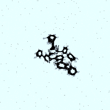 c1ccc(-c2cnc(-c3cccc4c3sc3ccc5c6ccccc6n(-c6ccccc6)c5c34)c(-c3nc(-c4ccccc4)nc(-c4ccccc4)n3)c2)cc1